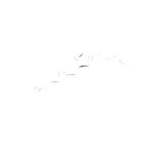 CNCCCNCc1cn(CCCN)cn1